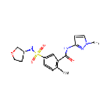 COc1ccc(S(=O)(=O)N[C@H]2CCOC2)cc1C(=O)Nc1ccn(C)n1